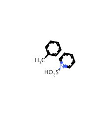 Cc1ccccc1.O=S(=O)(O)[n+]1ccccc1